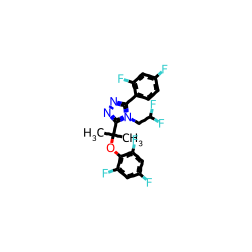 CC(C)(Oc1c(F)cc(F)cc1F)c1nnc(-c2ccc(F)cc2F)n1CC(F)F